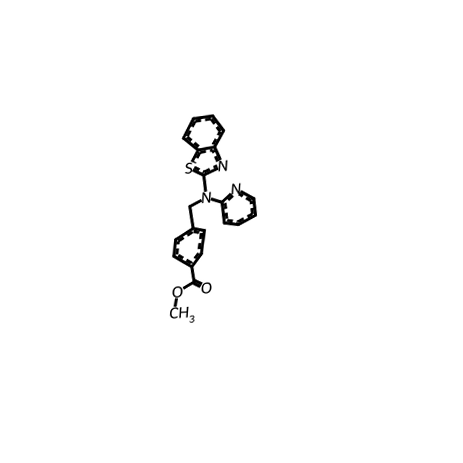 COC(=O)c1ccc(CN(c2ccccn2)c2nc3ccccc3s2)cc1